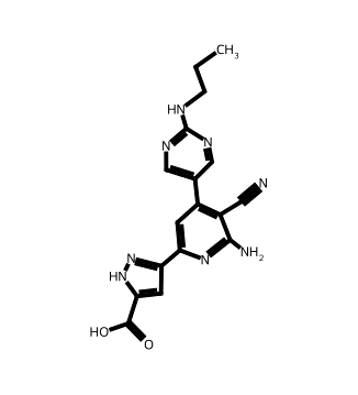 CCCNc1ncc(-c2cc(-c3cc(C(=O)O)[nH]n3)nc(N)c2C#N)cn1